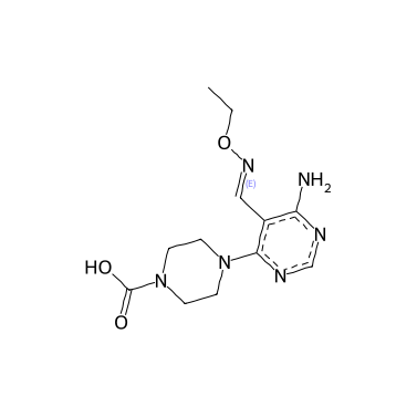 CCO/N=C/c1c(N)ncnc1N1CCN(C(=O)O)CC1